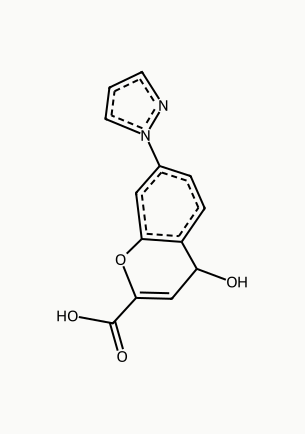 O=C(O)C1=CC(O)c2ccc(-n3cccn3)cc2O1